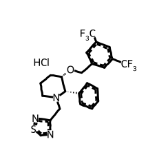 Cl.FC(F)(F)c1cc(CO[C@H]2CCCN(Cc3ncsn3)[C@H]2c2ccccc2)cc(C(F)(F)F)c1